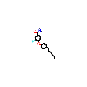 CCCCCCc1ccc(Oc2ccc(C(=O)N(C)C)cc2F)cc1